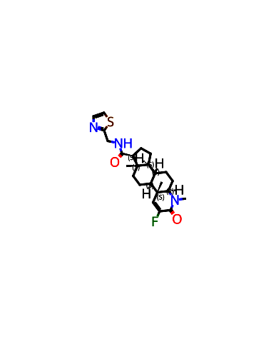 CN1C(=O)C(F)=C[C@]2(C)[C@H]3CC[C@]4(C)[C@@H](C(=O)NCc5nccs5)CC[C@H]4[C@@H]3CC[C@@H]12